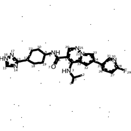 CC(C)Nc1c(C(=O)NC2CCC(c3nc[nH]n3)CC2)cnn2cc(-c3ccc(F)nc3)cc12